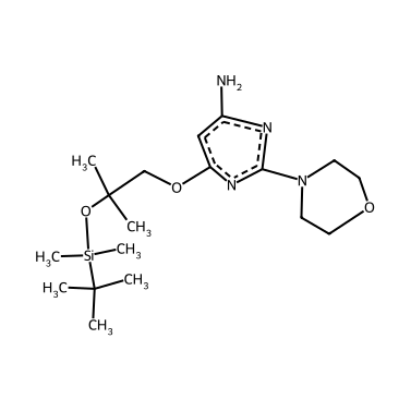 CC(C)(COc1cc(N)nc(N2CCOCC2)n1)O[Si](C)(C)C(C)(C)C